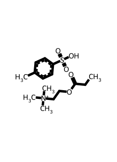 CCC(=O)OCC[N+](C)(C)C.Cc1ccc(S(=O)(=O)O)cc1